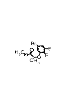 COC(=O)[C@@H](C)Oc1cc(Br)cc(F)c1F